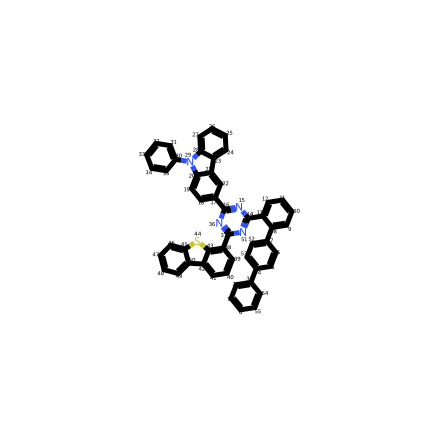 c1ccc(-c2ccc(-c3ccccc3-c3nc(-c4ccc5c(c4)c4ccccc4n5-c4ccccc4)nc(-c4cccc5c4sc4ccccc45)n3)cc2)cc1